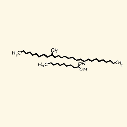 CCCCCCCCCC(O)O.CCCCCCCCCCCCCCCCCCC(O)CCCCCCCCC